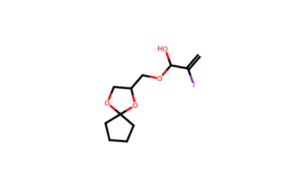 C=C(I)C(O)OCC1COC2(CCCC2)O1